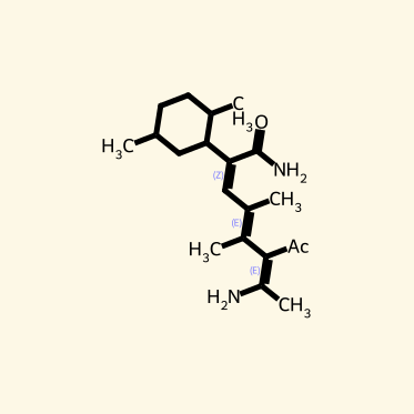 CC(=O)C(=C(\C)N)/C(C)=C(C)/C=C(\C(N)=O)C1CC(C)CCC1C